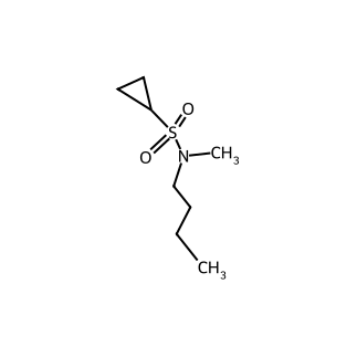 CCCCN(C)S(=O)(=O)C1CC1